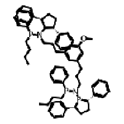 CCCCP(c1ccccc1)N(CCCc1cc(CCCN(P(CCCC)c2ccccc2)P2[C@H](c3ccccc3)CC[C@H]2c2ccccc2)cc(OC)c1)C1[C@@H](c2ccccc2)CC[C@@H]1c1ccccc1